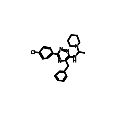 CC(Nc1nnc(-c2ccc(Cl)cc2)nc1Cc1ccccc1)N1CCCCC1